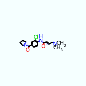 CN(C)C/C=C/C(=O)Nc1ccc(C(=O)N2CCCC2)cc1Cl